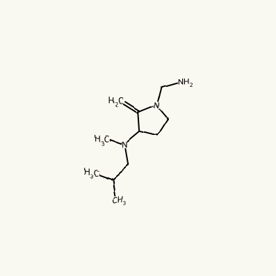 C=C1C(N(C)CC(C)C)CCN1CN